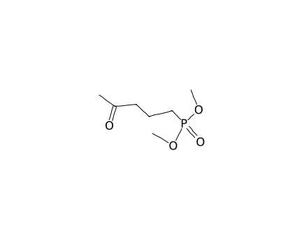 COP(=O)(CCCC(C)=O)OC